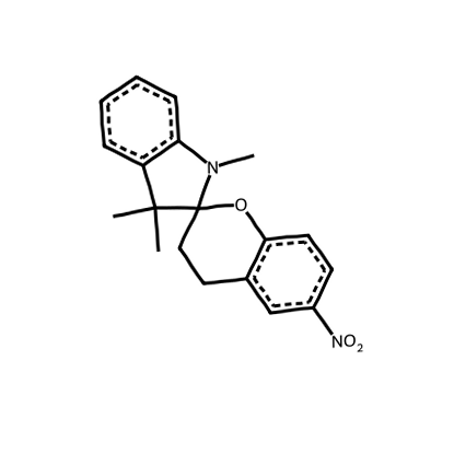 CN1c2ccccc2C(C)(C)C12CCc1cc([N+](=O)[O-])ccc1O2